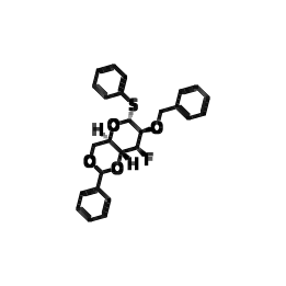 F[C@@H]1[C@H](OCc2ccccc2)[C@@H](Sc2ccccc2)O[C@@H]2COC(c3ccccc3)O[C@@H]12